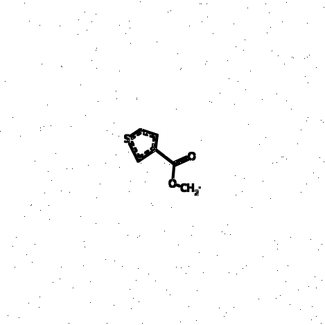 [CH2]OC(=O)c1ccsc1